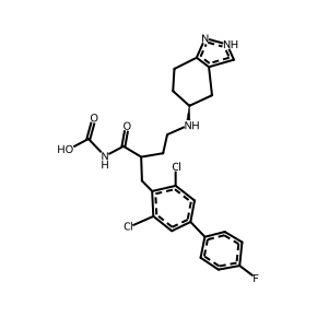 O=C(O)NC(=O)C(CCN[C@H]1CCc2n[nH]cc2C1)Cc1c(Cl)cc(-c2ccc(F)cc2)cc1Cl